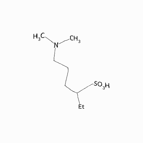 [CH2]CC(CCCN(C)C)S(=O)(=O)O